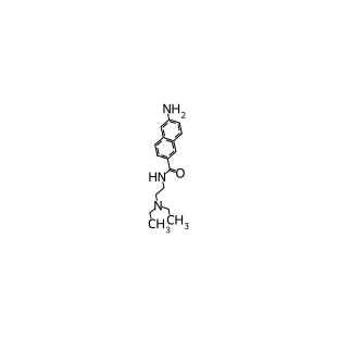 CCN(CC)CCNC(=O)c1ccc2cc(N)ccc2c1